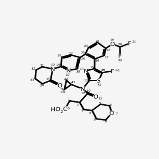 O=C(O)CC(CC1CCOCC1)C(=O)N(c1nc(-c2cc(OC(F)F)ccc2-c2ccc(N3CCCCC3=O)nc2)c(F)s1)C1CC1